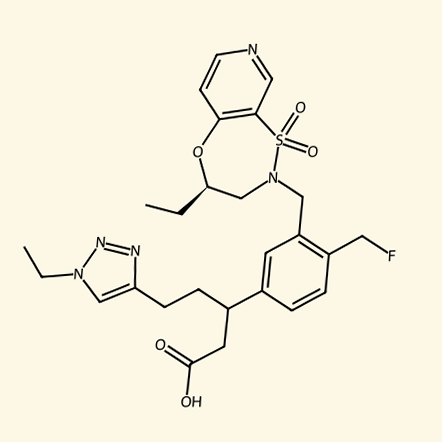 CC[C@@H]1CN(Cc2cc(C(CCc3cn(CC)nn3)CC(=O)O)ccc2CF)S(=O)(=O)c2cnccc2O1